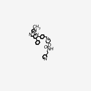 Cc1cc2ncc3cc(-c4ccccc4)c(-c4ccc(CN5CCC(OC(=O)NCCc6cccnc6)CC5)cc4)nc3n2n1